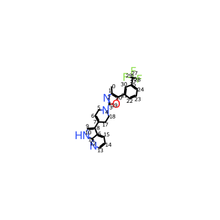 Cc1nc(N2CC=C(c3c[nH]c4ncccc34)CC2)oc1-c1cccc(C(F)(F)F)c1